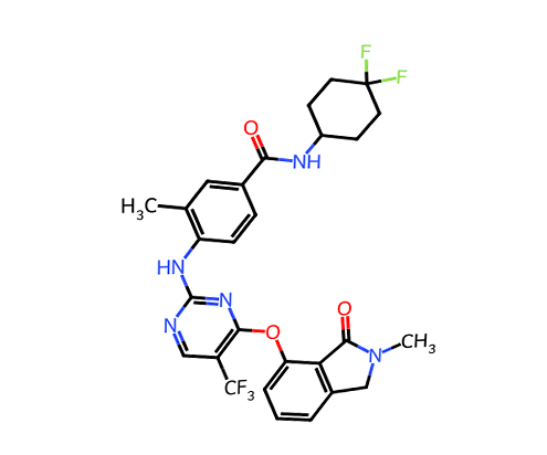 Cc1cc(C(=O)NC2CCC(F)(F)CC2)ccc1Nc1ncc(C(F)(F)F)c(Oc2cccc3c2C(=O)N(C)C3)n1